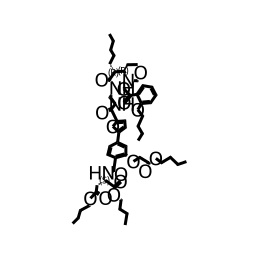 CCCCC[C@@H](C(=O)NCNC(=O)c1ccc(-c2ccc(C(=O)N[C@@H](CC(=O)OCCCC)C(=O)OCCCC)c(OCC(=O)OCCCC)c2)o1)[C@@H](CC)N(C=O)OC(=O)c1ccccc1OCCCC